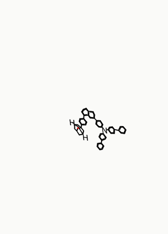 c1ccc(-c2ccc(N(c3ccc(-c4ccccc4)cc3)c3ccc(-c4ccc5cccc(-c6ccc(C78CC9C[C@H](C7)C[C@H](C9)C8)cc6)c5c4)cc3)cc2)cc1